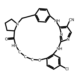 N#Cc1cnc2nc1Nc1ccc(cc1)CN1CCCC1C(=O)NCCCOc1ccc(Cl)cc1N2